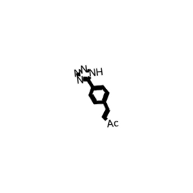 CC(=O)/C=C/c1ccc(-c2nnn[nH]2)cc1